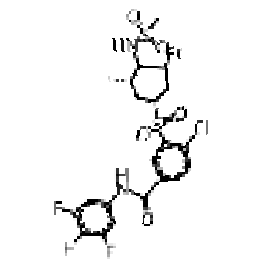 CCC1C[C@@H](S(=O)(=O)c2cc(C(=O)Nc3cc(F)c(F)c(F)c3)ccc2Cl)C[C@H](C)C1NS(C)(=O)=O